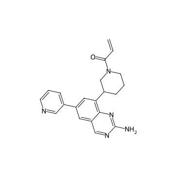 C=CC(=O)N1CCCC(c2cc(-c3cccnc3)cc3cnc(N)nc23)C1